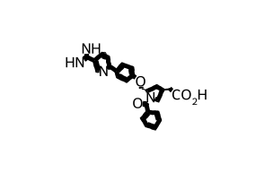 N=C(N)c1ccc(-c2ccc(OC[C@@H]3C[C@@H](CC(=O)O)CN3C(=O)c3ccccc3)cc2)nc1